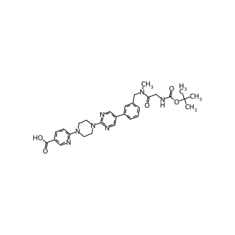 CN(Cc1cccc(-c2cnc(N3CCN(c4ccc(C(=O)O)cn4)CC3)nc2)c1)C(=O)CNC(=O)OC(C)(C)C